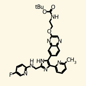 Cc1cccc(-c2nc(CNc3ccc(F)cn3)[nH]c2-c2ccc3ncc(OCCNC(=O)OC(C)(C)C)nc3c2)n1